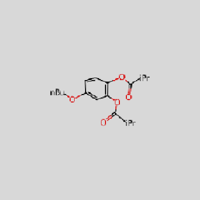 CCCCOc1ccc(OC(=O)C(C)C)c(OC(=O)C(C)C)c1